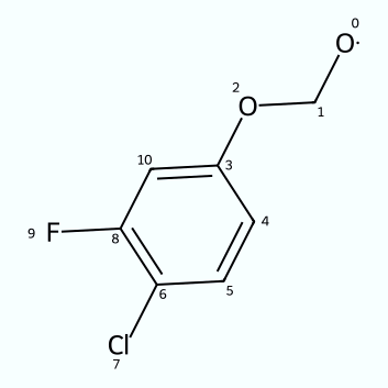 [O]COc1ccc(Cl)c(F)c1